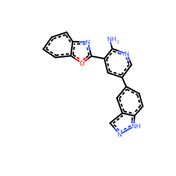 Nc1ncc(-c2ccc3[nH]ncc3c2)cc1-c1nc2ccccc2o1